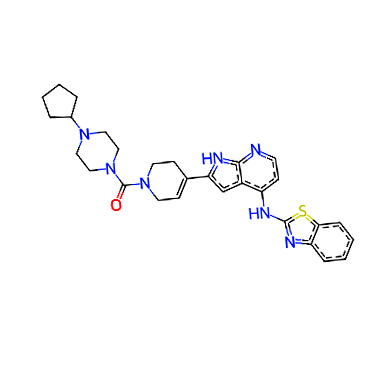 O=C(N1CC=C(c2cc3c(Nc4nc5ccccc5s4)ccnc3[nH]2)CC1)N1CCN(C2CCCC2)CC1